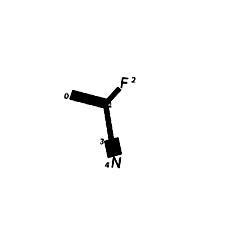 [CH]=C(F)C#N